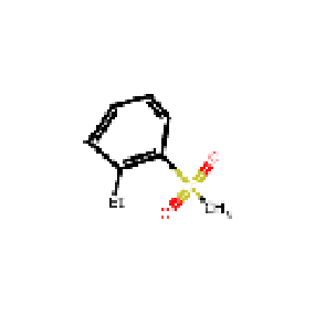 CCc1[c]cccc1S(C)(=O)=O